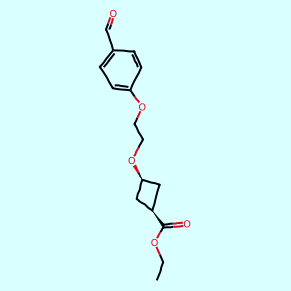 CCOC(=O)[C@H]1C[C@@H](OCCOc2ccc(C=O)cc2)C1